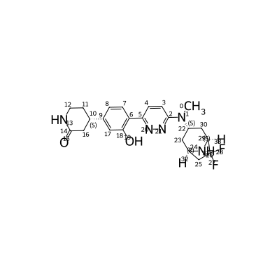 CN(c1ccc(-c2ccc([C@H]3CCNC(=O)C3)cc2O)nn1)[C@H]1C[C@@H]2CC(F)(F)[C@H](C1)N2